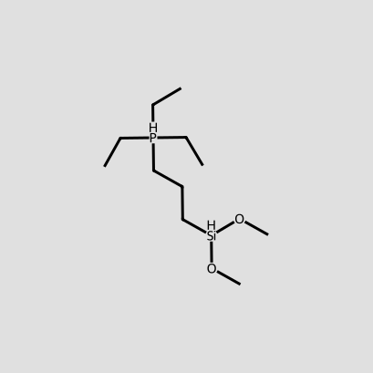 CC[PH](CC)(CC)CCC[SiH](OC)OC